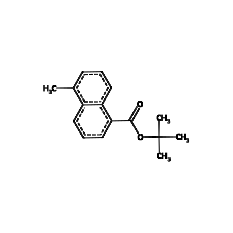 Cc1cccc2c(C(=O)OC(C)(C)C)cccc12